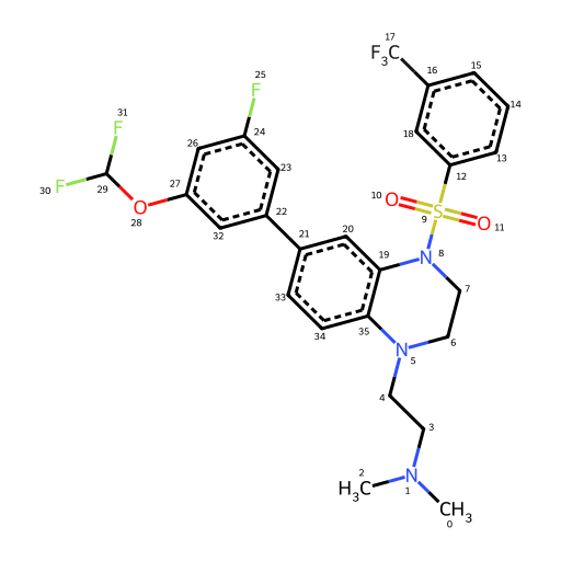 CN(C)CCN1CCN(S(=O)(=O)c2cccc(C(F)(F)F)c2)c2cc(-c3cc(F)cc(OC(F)F)c3)ccc21